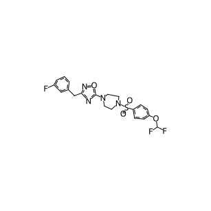 O=S(=O)(c1ccc(OC(F)F)cc1)N1CCN(c2nc(Cc3cccc(F)c3)no2)CC1